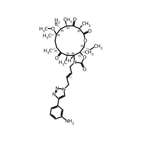 B[C@@H]1[C@@H](C)C(=O)[C@@H](C)C(=O)O[C@H](CC)[C@@]2(C)OC(=O)N(C/C=C/Cn3cc(-c4cccc(N)c4)nn3)[C@@H]2[C@@H](C)C(=O)[C@H](C)C[C@@]1(C)OC